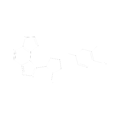 CCC1CC(Oc2ccc(C#N)c(F)c2)CC1c1nnc2cnc3[nH]ccc3n12